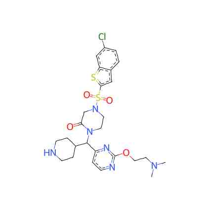 CN(C)CCOc1nccc(C(C2CCNCC2)N2CCN(S(=O)(=O)c3cc4ccc(Cl)cc4s3)CC2=O)n1